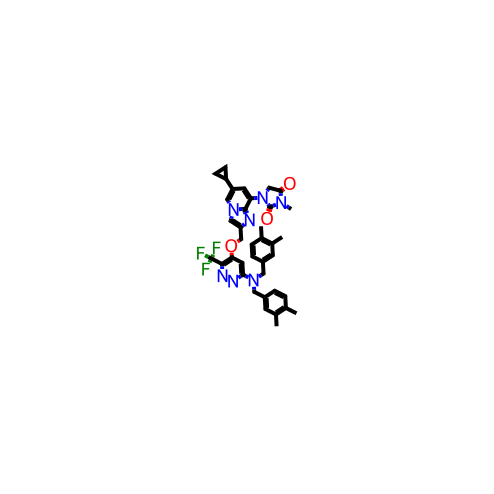 Cc1ccc(CN(Cc2ccc(C)c(C)c2)c2cc(OCc3cn4cc(C5CC5)cc(N5CC(=O)N(C)C5=O)c4n3)c(C(F)(F)F)nn2)cc1C